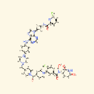 O=C1CC[C@H](N2C(=O)c3cc(F)c(N4CCC(C(=O)N5CCC(CN6CCN(c7ccc(Nc8ncnc9c8ncn9C8CC(NC(=O)c9cccc(F)n9)C8)cc7)CC6)CC5)CC4)cc3C2=O)C(=O)N1